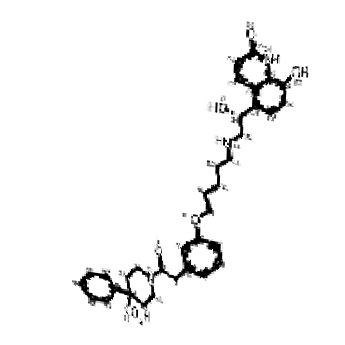 O=C(Cc1cccc(OCCCCCNC[C@H](O)c2ccc(O)c3[nH]c(=O)ccc23)c1)N1CCC(C(=O)O)(c2ccccc2)CC1